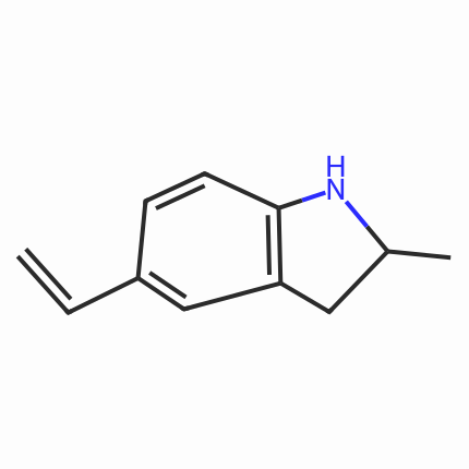 C=Cc1ccc2c(c1)CC(C)N2